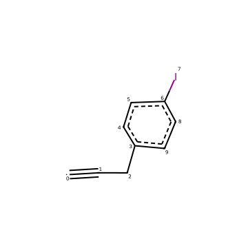 [C]#CCc1ccc(I)cc1